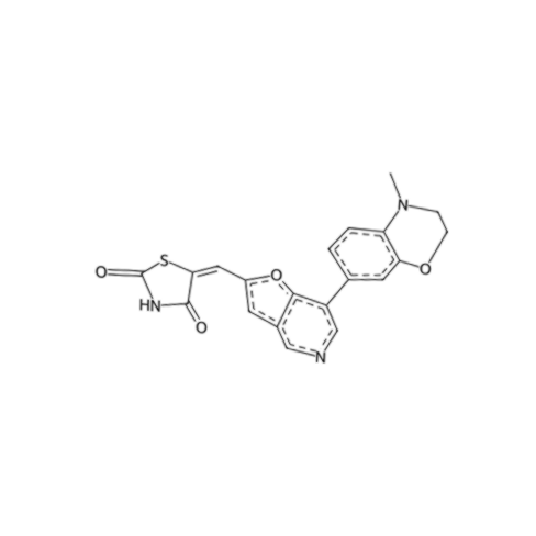 CN1CCOc2cc(-c3cncc4cc(/C=C5/SC(=O)NC5=O)oc34)ccc21